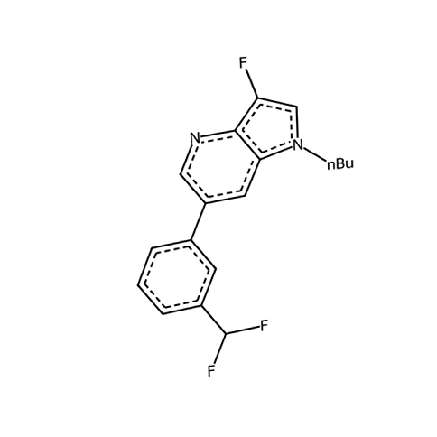 CCCCn1cc(F)c2ncc(-c3cccc(C(F)F)c3)cc21